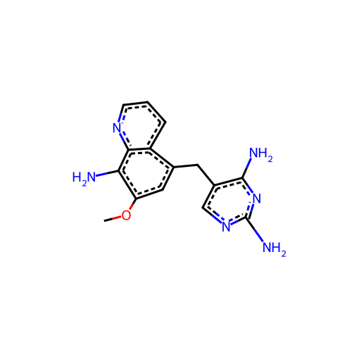 COc1cc(Cc2cnc(N)nc2N)c2cccnc2c1N